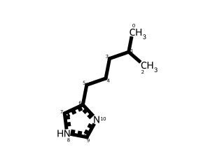 CC(C)CCCc1c[nH]cn1